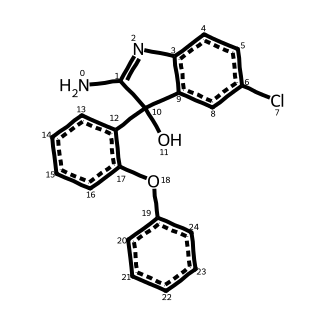 NC1=Nc2ccc(Cl)cc2C1(O)c1ccccc1Oc1ccccc1